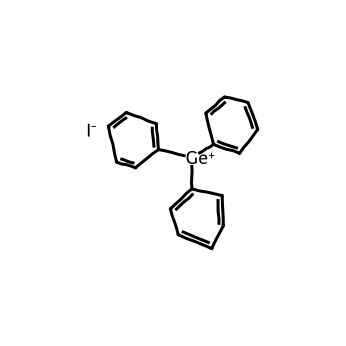 [I-].c1cc[c]([Ge+]([c]2ccccc2)[c]2ccccc2)cc1